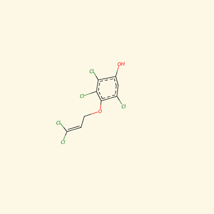 Oc1cc(Cl)c(OCC=C(Cl)Cl)c(Cl)c1Cl